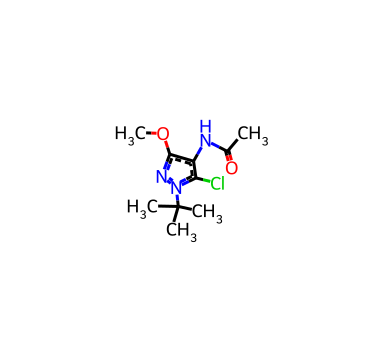 COc1nn(C(C)(C)C)c(Cl)c1NC(C)=O